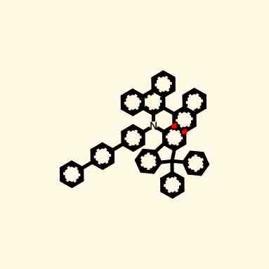 c1ccc(-c2ccc(-c3ccc(N(c4cccc5c4-c4ccccc4C5(c4ccccc4)c4ccccc4)c4c(-c5cccc6ccccc56)c5ccccc5c5ccccc45)cc3)cc2)cc1